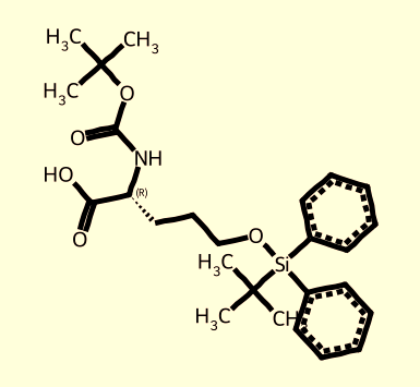 CC(C)(C)OC(=O)N[C@H](CCCO[Si](c1ccccc1)(c1ccccc1)C(C)(C)C)C(=O)O